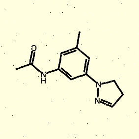 CC(=O)Nc1cc(C)cc(N2CCC=N2)c1